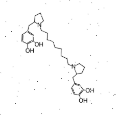 Oc1ccc(CC2CCCN2CCCCCCCCCN2CCCC2Cc2ccc(O)c(O)c2)cc1O